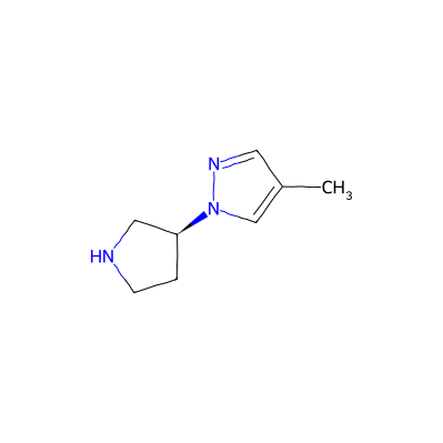 Cc1cnn([C@H]2CCNC2)c1